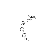 NC(=S)N/N=C/c1ccc(CN2CCN(c3ccc(C(F)(F)F)cn3)CC2)o1